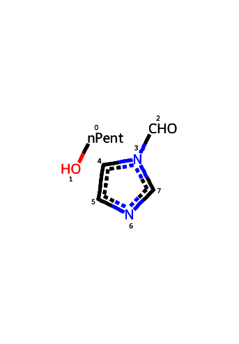 CCCCCO.O=Cn1ccnc1